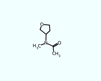 CC(=O)N(C)C1CCOC1